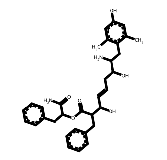 Cc1cc(O)cc(C)c1CC(N)C(O)C/C=C/C(O)C(Cc1ccccc1)C(=O)OC(Cc1ccccc1)C(N)=O